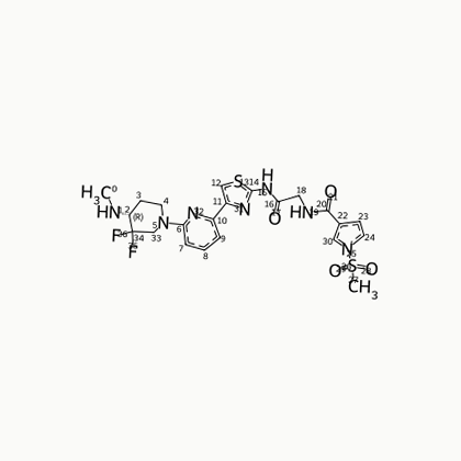 CN[C@@H]1CCN(c2cccc(-c3csc(NC(=O)CNC(=O)c4ccn(S(C)(=O)=O)c4)n3)n2)CC1(F)F